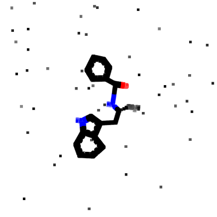 O=C(N[C@@H](Cc1c[nH]c2ccccc12)C(=O)O)c1ccccc1